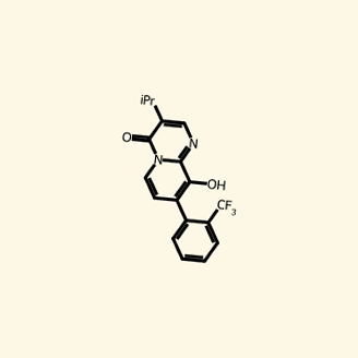 CC(C)c1cnc2c(O)c(-c3ccccc3C(F)(F)F)ccn2c1=O